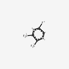 Fc1cnc(C(F)(F)F)c(C(F)(F)F)n1